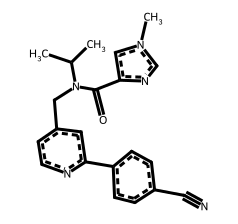 CC(C)N(Cc1ccnc(-c2ccc(C#N)cc2)c1)C(=O)c1cn(C)cn1